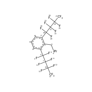 CC(C)[CH]c1c(C(F)(F)C(F)(F)C(F)(F)C(F)(F)F)cccc1C(F)(F)C(F)(F)C(F)(F)C(F)(F)F